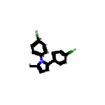 Cc1ccc(-c2ccc(F)cc2)n1-c1ccc(F)cc1